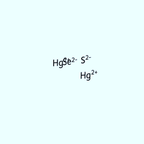 [Hg+2].[Hg+2].[S-2].[Se-2]